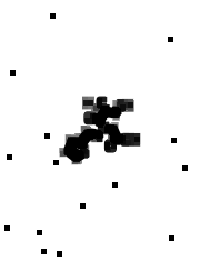 CC(CS)C(=O)N(CC(=O)O)N=Cc1cccs1